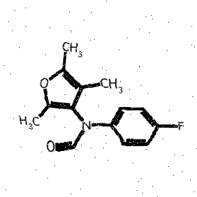 Cc1oc(C)c(N(C=O)c2ccc(F)cc2)c1C